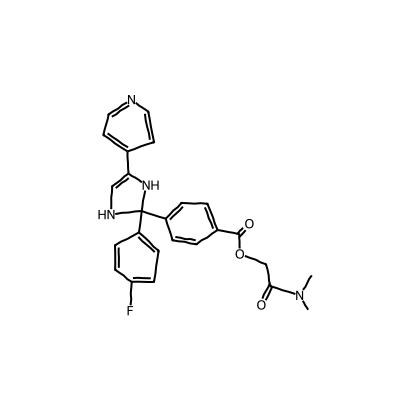 CN(C)C(=O)COC(=O)c1ccc(C2(c3ccc(F)cc3)NC=C(c3ccncc3)N2)cc1